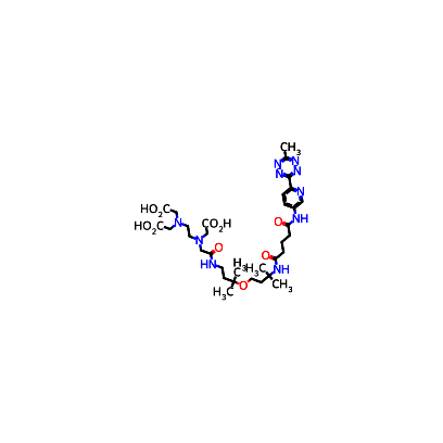 Cc1nnc(-c2ccc(NC(=O)CCCC(=O)NC(C)(C)CCOC(C)(C)CCNC(=O)CN(CCN(CC(=O)O)CC(=O)O)CC(=O)O)cn2)nn1